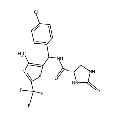 Cc1nc(C(F)(F)F)sc1C(NC(=O)[C@@H]1CNC(=O)N1)c1ccc(Cl)cc1